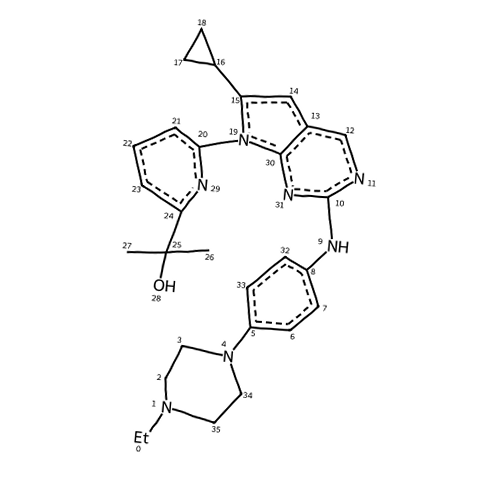 CCN1CCN(c2ccc(Nc3ncc4cc(C5CC5)n(-c5cccc(C(C)(C)O)n5)c4n3)cc2)CC1